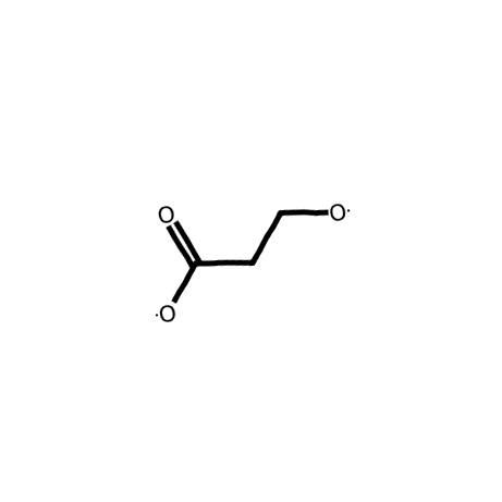 [O]CCC([O])=O